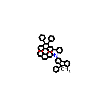 CC1(c2ccccc2)c2ccccc2-c2cc(N(c3ccc4c(ccc5ccccc54)c3)c3ccccc3-c3ccc4c(c3)c(-c3ccccc3)c(-c3ccccc3)c3ccccc34)ccc21